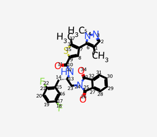 Cc1cnn(C)c1-c1cc(C(=O)N[C@@H](Cc2cc(F)ccc2F)CN2C(=O)c3ccccc3C2=O)sc1C